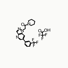 O=C(Cn1ncc2ncc(-c3cccc(C(F)(F)F)c3)cc21)N1CCCCC1.O=C(O)C(F)(F)F